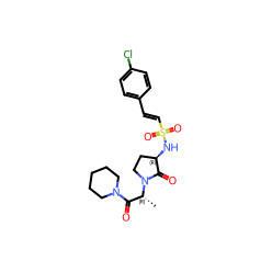 C[C@H](C(=O)N1CCCCC1)N1CC[C@@H](NS(=O)(=O)C=Cc2ccc(Cl)cc2)C1=O